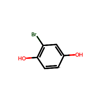 Oc1[c]cc(O)c(Br)c1